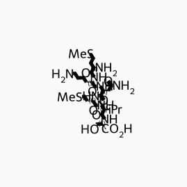 CSCC[C@H](NC(=O)[C@H](CC(N)=O)NC(=O)[C@H](CCCCN)NC(=O)[C@@H](N)CCSC)C(=O)N[C@H](C(=O)N[C@@H](CO)C(=O)O)C(C)C